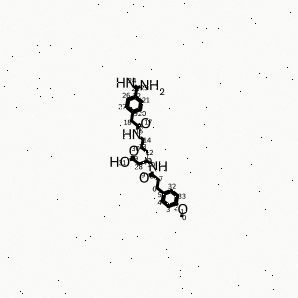 COc1ccc(CCC(=O)N[C@@H](CCCNC(=O)Cc2ccc(C(=N)N)cc2)CC(=O)O)cc1